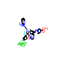 Cc1ccc(Cn2ccnc2NC(=O)[C@@H]2CN(CCCNc3ccccn3)C[C@H]2c2ccc(F)cc2F)c(N2CCC(C(=O)O)CC2)c1.Cl.Cl.Cl.Cl